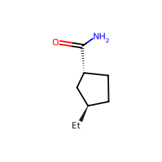 CC[C@@H]1CC[C@@H](C(N)=O)C1